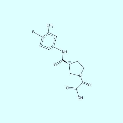 Cc1cc(NC(=O)[C@H]2CCN(C(=O)C(=O)O)C2)ccc1F